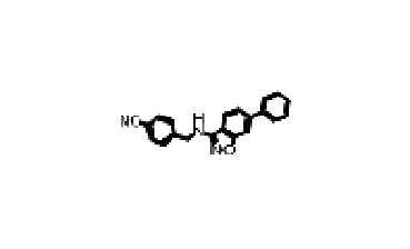 N#Cc1ccc(CNc2noc3cc(-c4ccccc4)ccc23)cc1